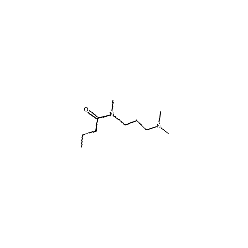 CCCC(=O)N(C)CCCN(C)C